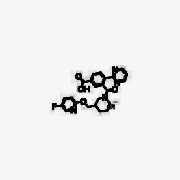 C[C@@H]1CCC(COc2ccc(F)cn2)CN1C(=O)c1cc(C(=O)O)ccc1-c1ncccn1